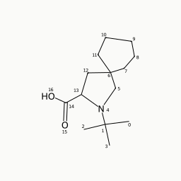 CC(C)(C)N1CC2(CCCCC2)CC1C(=O)O